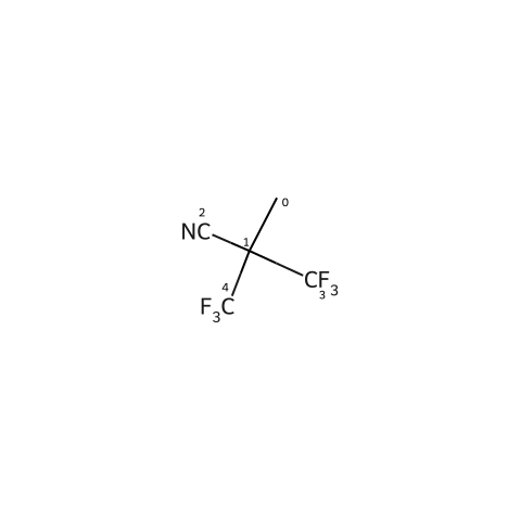 CC(C#N)(C(F)(F)F)C(F)(F)F